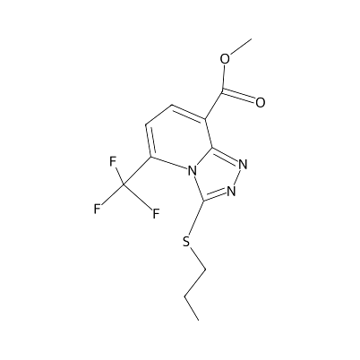 CCCSc1nnc2c(C(=O)OC)ccc(C(F)(F)F)n12